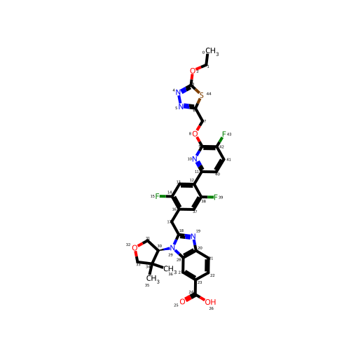 CCOc1nnc(COc2nc(-c3cc(F)c(Cc4nc5ccc(C(=O)O)cc5n4[C@@H]4COCC4(C)C)cc3F)ccc2F)s1